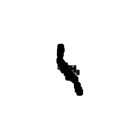 CC1c2cc(OC(=O)c3ccc(OCCCCOCC4CCC5OC5C4)cc3F)ccc2-c2ccc(OC(=O)c3ccc(OCCCCOCC4CCC5OC5C4)cc3F)cc21